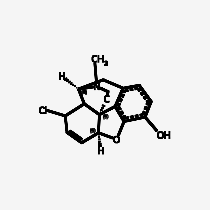 CN1CC[C@]23c4c5ccc(O)c4O[C@H]2C=CC(Cl)C3[C@H]1C5